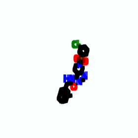 CC12C=C3CC(C1)CC(CC(=O)Nc1ncnc4c1CCN(S(=O)(=O)c1cccc(Cl)c1)C4)(C3)C2